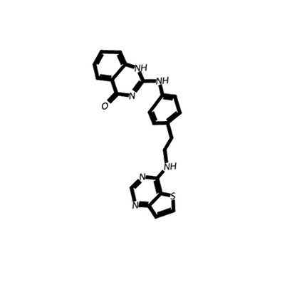 O=c1nc(Nc2ccc(CCNc3ncnc4ccsc34)cc2)[nH]c2ccccc12